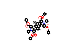 Cc1cc2c3c(cc4c([Si](C)(C)C)cc5c6c(cc1c3c46)B1c3ccc(C(=O)OCc4ccccc4)cc3N(c3ccccc3)c3cc(C(=O)OCc4ccccc4)cc-5c31)B1c3ccc(C(=O)OCc4ccccc4)cc3N(c3ccccc3)c3cc(C(=O)OCc4ccccc4)cc-2c31